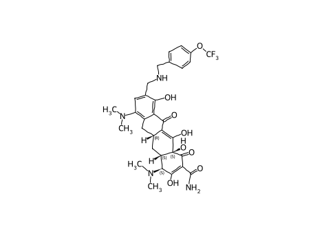 CN(C)c1cc(CNCc2ccc(OC(F)(F)F)cc2)c(O)c2c1C[C@H]1C[C@H]3[C@H](N(C)C)C(O)=C(C(N)=O)C(=O)[C@@]3(O)C(O)=C1C2=O